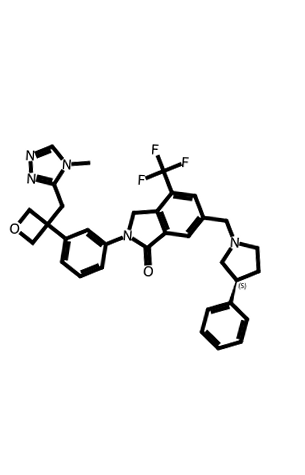 Cn1cnnc1CC1(c2cccc(N3Cc4c(cc(CN5CC[C@@H](c6ccccc6)C5)cc4C(F)(F)F)C3=O)c2)COC1